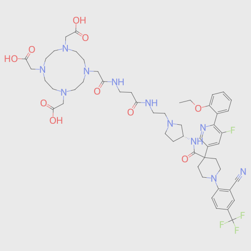 CCOc1ccccc1-c1ncc(C2(C(=O)N[C@@H]3CCN(CCNC(=O)CCNC(=O)CN4CCN(CC(=O)O)CCN(CC(=O)O)CCN(CC(=O)O)CC4)C3)CCN(c3ccc(C(F)(F)F)cc3C#N)CC2)cc1F